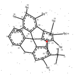 [2H]c1cc2c(c([2H])c1C(C)(C)C)C1(c3ccccc3C2)c2c([2H])c([2H])c([2H])c([2H])c2-c2c([2H])c([2H])c([2H])c([2H])c21